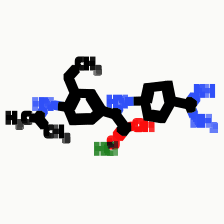 CCc1cc(C(Nc2ccc(C(=N)N)cc2)C(=O)O)ccc1NC(C)C.Cl